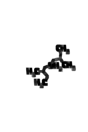 CCC(C)C[SiH2]CC(C)CC